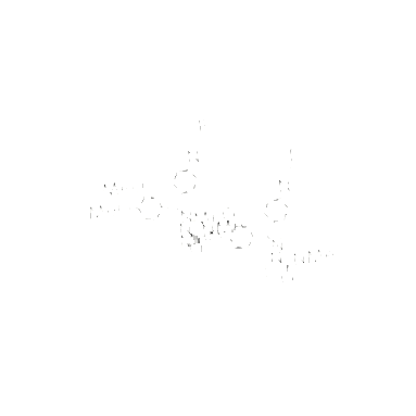 CNC(=O)N1N=C(c2ccc(N3CC(F)C3)cc2)c2cc(OC)c(OC)cc2CC1C.CNC(=O)N1N=C(c2ccc(N3CC(F)C3)cc2)c2cc(OC)c(OC)cc2C[C@H]1C